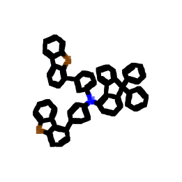 c1ccc(C2(c3ccccc3)c3ccccc3-c3c(N(c4ccc(-c5cccc6sc7ccccc7c56)cc4)c4cccc(-c5cccc6c5sc5ccccc56)c4)cccc32)cc1